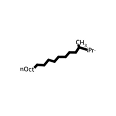 CCCCCCCCCCCCCCCCC(C)[C](C)C